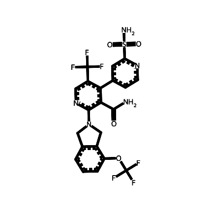 NC(=O)c1c(N2Cc3cccc(OC(F)(F)F)c3C2)ncc(C(F)(F)F)c1-c1ccnc(S(N)(=O)=O)c1